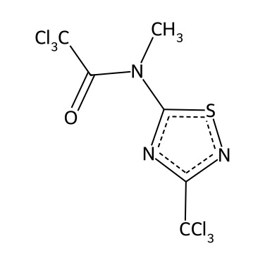 CN(C(=O)C(Cl)(Cl)Cl)c1nc(C(Cl)(Cl)Cl)ns1